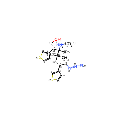 C[C](C)C(NC(=O)O)([C@@H](CO)c1ccsc1)C(C)(C)C[C@H](CN=[N+]=[N-])c1ccsc1